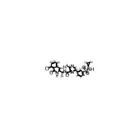 Cc1ncc(-c2cccc(S(=O)(=O)NC3CC3)c2)nc1C(=O)N[C@@H](C)c1cc2cccc(Cl)c2c(=O)n1C